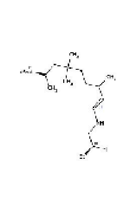 CCC[C@H](C)C(C)CC(C)(C)CCC(C)/C=C/NC[C@@H](I)CC